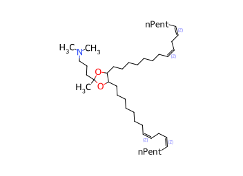 CCCCC/C=C\C/C=C\CCCCCCCC1OC(C)(CCCN(C)C)OC1CCCCCCC/C=C\C/C=C\CCCCC